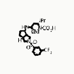 CC(C)[C@@H](CC(=O)NC1CC[C@H]2CN(S(=O)(=O)c3cccc(C(F)(F)F)c3)CC12)N(C(=O)O)C(C)(C)C